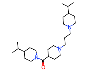 CC(C)C1CCN(CCCN2CCC(C(=O)N3CCC(C(C)C)CC3)CC2)CC1